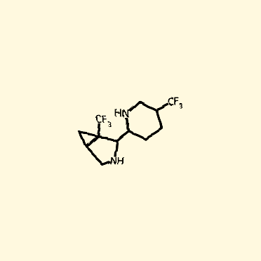 FC(F)(F)C1CCC(C2NCC3CC32C(F)(F)F)NC1